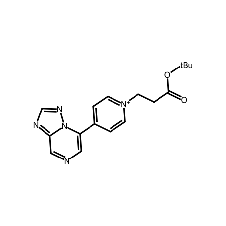 CC(C)(C)OC(=O)CC[n+]1ccc(-c2cncc3ncnn23)cc1